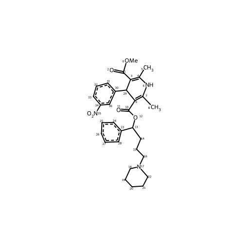 COC(=O)C1=C(C)NC(C)=C(C(=O)OC(CCCN2CCCCC2)c2ccccc2)C1c1cccc([N+](=O)[O-])c1